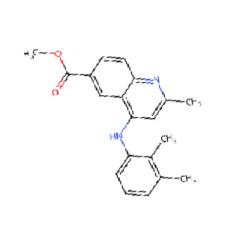 COC(=O)c1ccc2nc(C)cc(Nc3cccc(C)c3C)c2c1